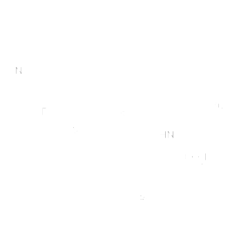 CC(C)(C)C(Cc1cc(-c2cccnc2F)c(Sc2cccc(Br)c2)s1)NC(=O)O